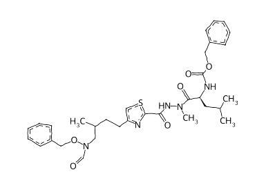 CC(C)C[C@H](NC(=O)OCc1ccccc1)C(=O)N(C)NC(=O)c1nc(CCC(C)CN(C=O)OCc2ccccc2)cs1